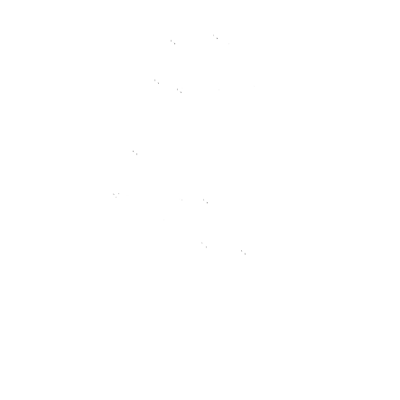 COc1ncc(-c2cc(C(F)(F)F)c3c(N)ncnn23)cc1C(=O)Nc1cn(Cc2ccc(Cl)cc2)cn1